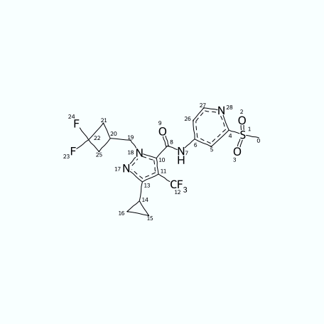 CS(=O)(=O)c1cc(NC(=O)c2c(C(F)(F)F)c(C3CC3)nn2CC2CC(F)(F)C2)ccn1